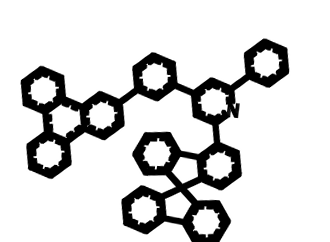 c1ccc(-c2cc(-c3cccc(-c4ccc5c6ccccc6c6ccccc6c5c4)c3)cc(-c3cccc4c3-c3ccccc3C43c4ccccc4-c4ccccc43)n2)cc1